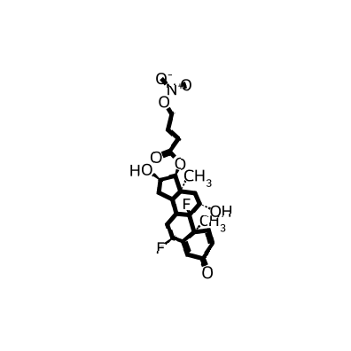 C[C@]12C[C@H](O)[C@@]3(F)C(C[C@H](F)C4=CC(=O)C=C[C@@]43C)C1C[C@@H](O)[C@H]2OC(=O)CCCO[N+](=O)[O-]